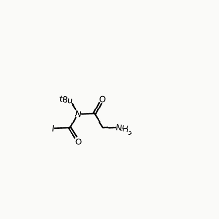 CC(C)(C)N(C(=O)I)C(=O)CN